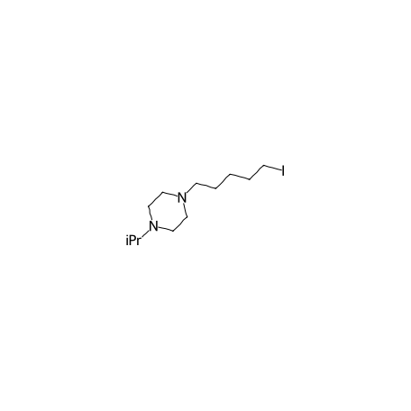 CC(C)N1CCN(CCCCCI)CC1